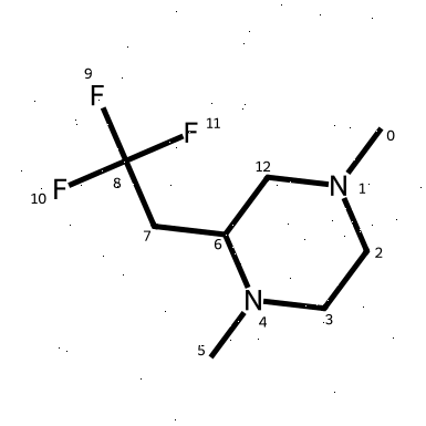 CN1CCN(C)C(CC(F)(F)F)C1